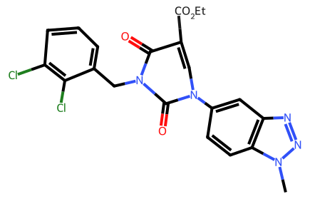 CCOC(=O)c1cn(-c2ccc3c(c2)nnn3C)c(=O)n(Cc2cccc(Cl)c2Cl)c1=O